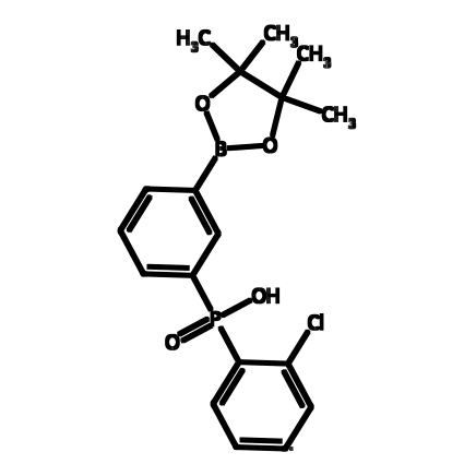 CC1(C)OB(c2cccc(P(=O)(O)c3cc[c]cc3Cl)c2)OC1(C)C